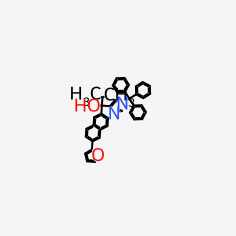 CC(C)C(O)(c1ccc2cc(-c3ccco3)ccc2c1)c1cn(C(c2ccccc2)(c2ccccc2)c2ccccc2)cn1